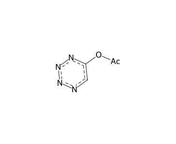 CC(=O)Oc1cnnnn1